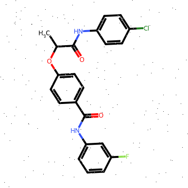 CC(Oc1ccc(C(=O)Nc2cccc(F)c2)cc1)C(=O)Nc1ccc(Cl)cc1